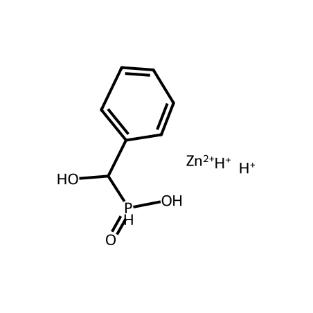 O=[PH](O)C(O)c1ccccc1.[H+].[H+].[Zn+2]